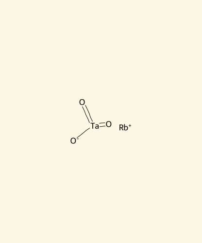 [O]=[Ta](=[O])[O-].[Rb+]